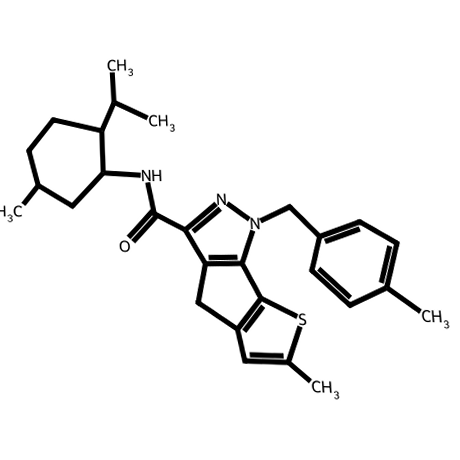 Cc1ccc(Cn2nc(C(=O)NC3CC(C)CCC3C(C)C)c3c2-c2sc(C)cc2C3)cc1